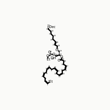 CC/C=C\C/C=C\C/C=C\C/C=C\C/C=C\C/C=C\CCC(=O)O[C@H](COC/C=C/CCCCCCCCCCCCCCC)COP(=O)(O)OCC